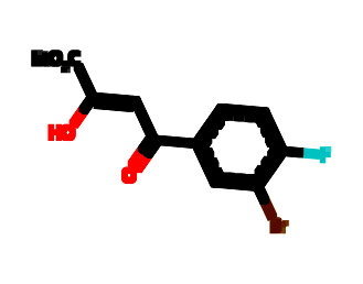 CCOC(=O)C(O)=CC(=O)c1ccc(F)c(Br)c1